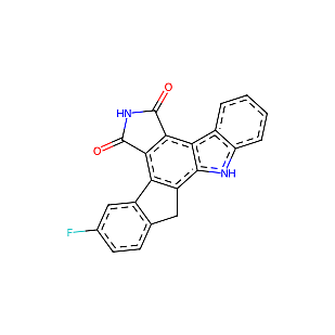 O=C1NC(=O)c2c1c1c(c3[nH]c4ccccc4c23)Cc2ccc(F)cc2-1